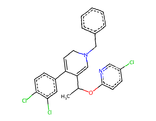 CC(Oc1ccc(Cl)cn1)C1=CN(Cc2ccccc2)CC=C1c1ccc(Cl)c(Cl)c1